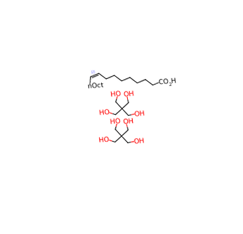 CCCCCCCC/C=C\CCCCCCCC(=O)O.OCC(CO)(CO)CO.OCC(CO)(CO)CO